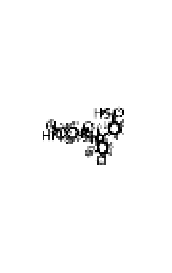 Cc1c(-c2cccc(C(=O)S)c2)c2ccc(Cl)c(F)c2n1CC(=O)N1CCC2(CC1)CNC(=O)C2